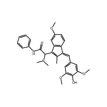 COc1ccc2c(c1)C(C(C(=O)Nc1ccccc1)N(C)C)=C(C)C2=Cc1cc(OC)c(O)c(OC)c1